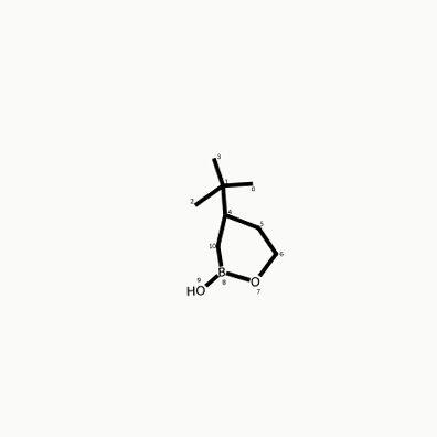 CC(C)(C)C1CCOB(O)C1